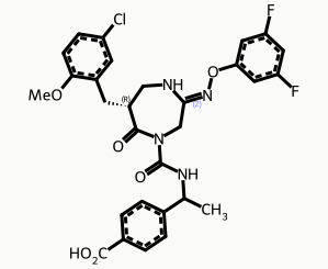 COc1ccc(Cl)cc1C[C@@H]1CN/C(=N\Oc2cc(F)cc(F)c2)CN(C(=O)NC(C)c2ccc(C(=O)O)cc2)C1=O